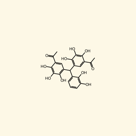 CC(=O)c1cc(C(c2cccc(O)c2O)c2cc(C(C)=O)c(O)c(O)c2O)c(O)c(O)c1O